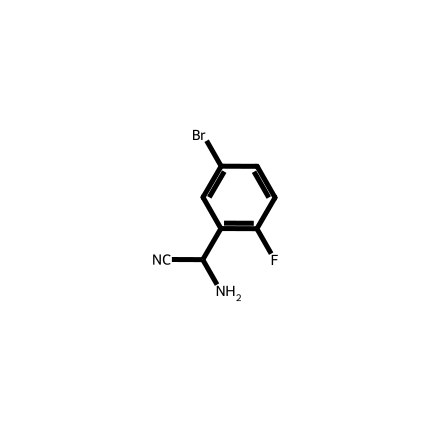 N#CC(N)c1cc(Br)ccc1F